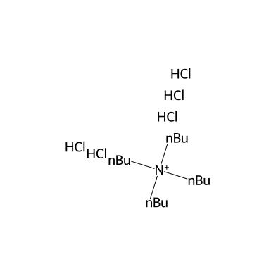 CCCC[N+](CCCC)(CCCC)CCCC.Cl.Cl.Cl.Cl.Cl